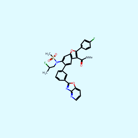 CNC(=O)c1c(-c2ccc(F)cc2)oc2cc(N(CC(C)F)S(C)(=O)=O)c(-c3cccc(-c4nc5ncccc5o4)c3)cc12